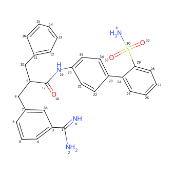 N=C(N)c1cccc(CC(Cc2ccccc2)C(=O)Nc2ccc(-c3ccccc3S(N)(=O)=O)cc2)c1